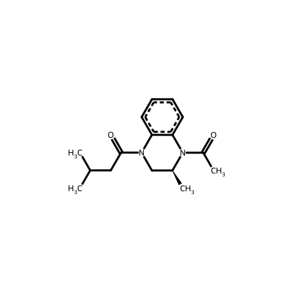 CC(=O)N1c2ccccc2N(C(=O)CC(C)C)C[C@@H]1C